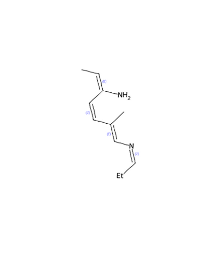 C\C=C(N)/C=C\C(C)=C\N=C/CC